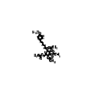 COc1ccc(CCCCCOC2OC(COC(C)=O)C(OC(C)=O)C(OC(C)=O)C2OC(C)=O)cc1